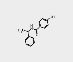 CC(NC(=O)c1ccc(O)cc1)c1ccccc1